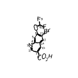 O=C(O)c1cnc2cc(OC(F)F)c(Br)cc2c1